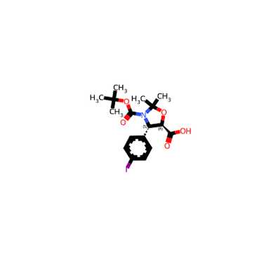 CC(C)(C)OC(=O)N1[C@@H](c2ccc(I)cc2)[C@H](C(=O)O)OC1(C)C